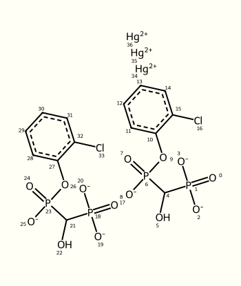 O=P([O-])([O-])C(O)P(=O)([O-])Oc1ccccc1Cl.O=P([O-])([O-])C(O)P(=O)([O-])Oc1ccccc1Cl.[Hg+2].[Hg+2].[Hg+2]